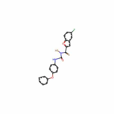 O=C(Nc1ccc(Oc2ccccc2)cc1)N(S)C(=S)c1cc2cc(F)ccc2o1